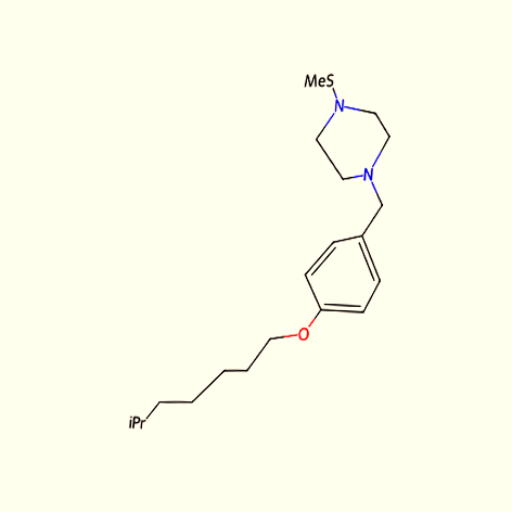 CSN1CCN(Cc2ccc(OCCCCCC(C)C)cc2)CC1